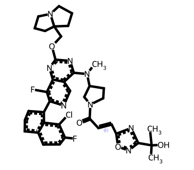 CN(c1nc(OCC23CCCN2CCC3)nc2c(F)c(-c3cccc4ccc(F)c(Cl)c34)ncc12)C1CCN(C(=O)/C=C/c2nc(C(C)(C)O)no2)C1